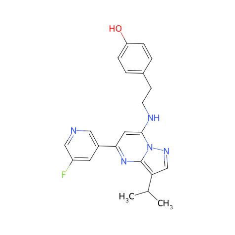 CC(C)c1cnn2c(NCCc3ccc(O)cc3)cc(-c3cncc(F)c3)nc12